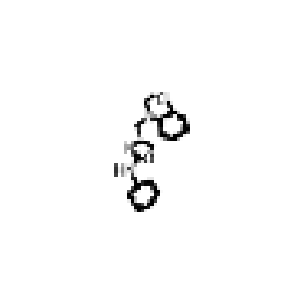 CCN(C[C@H]1COC(Nc2ccccc2)=N1)c1ccccc1Cl